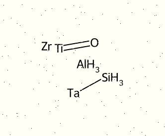 [AlH3].[O]=[Ti].[SiH3][Ta].[Zr]